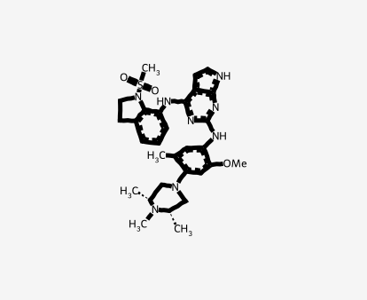 COc1cc(N2C[C@@H](C)N(C)[C@@H](C)C2)c(C)cc1Nc1nc(Nc2cccc3c2N(S(C)(=O)=O)CC3)c2cc[nH]c2n1